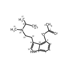 CC(=O)Oc1cccc2[nH]cc(CCN(C)C(C)C)c12